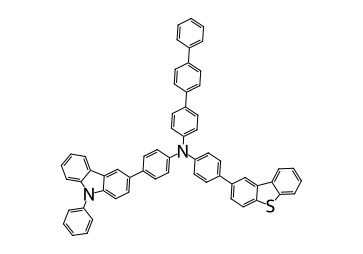 c1ccc(-c2ccc(-c3ccc(N(c4ccc(-c5ccc6sc7ccccc7c6c5)cc4)c4ccc(-c5ccc6c(c5)c5ccccc5n6-c5ccccc5)cc4)cc3)cc2)cc1